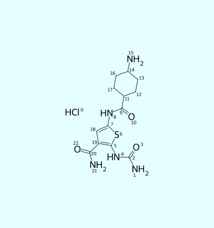 Cl.NC(=O)Nc1sc(NC(=O)C2CCC(N)CC2)cc1C(N)=O